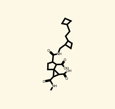 CNC(=O)C1C(C(=O)O)C12CCC(C(=O)NCC1CCC1CCC1CCC1)C2C(=O)O